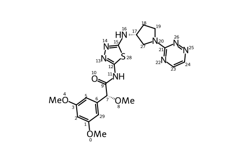 COc1cc(OC)cc([C@@H](OC)C(=O)Nc2nnc(N[C@@H]3CCN(c4nccnn4)C3)s2)c1